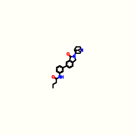 CCCC(=O)Nc1cccc(-c2ccc3c(c2)C(=O)N(C2CN4CCC2CC4)C3)c1